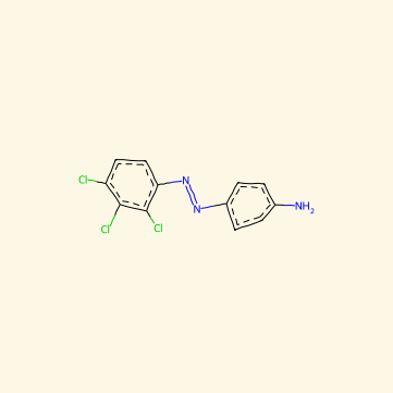 Nc1ccc(/N=N/c2ccc(Cl)c(Cl)c2Cl)cc1